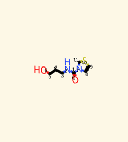 O=C(NCCCO)N1C=CSC1